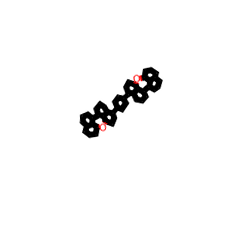 c1cc2cccc3c4cccc5c(-c6ccc(-c7ccc8oc9cccc%10cccc(c%11cccc7c8%11)c%109)cc6)ccc(oc(c1)c23)c54